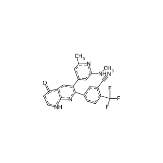 CNc1cc(-c2cc3c(=O)cc[nH]c3nc2-c2ccc(C(F)(F)F)c(C#N)c2)cc(C)n1